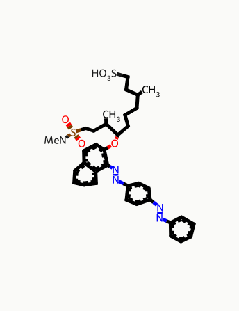 CNS(=O)(=O)CCC(C)C(CCCC(C)CCS(=O)(=O)O)Oc1ccc2ccccc2c1N=Nc1ccc(N=Nc2ccccc2)cc1